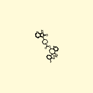 O=C(OC1CCC(O)(c2cccc(F)c2F)C(=O)c2cccnc21)N1CCC(n2c(=O)[nH]c3ncccc32)CC1